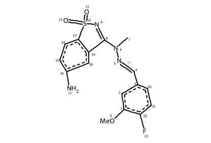 COc1cc(/C=N/N(C)C2=NS(=O)(=O)c3ccc(N)cc32)ccc1F